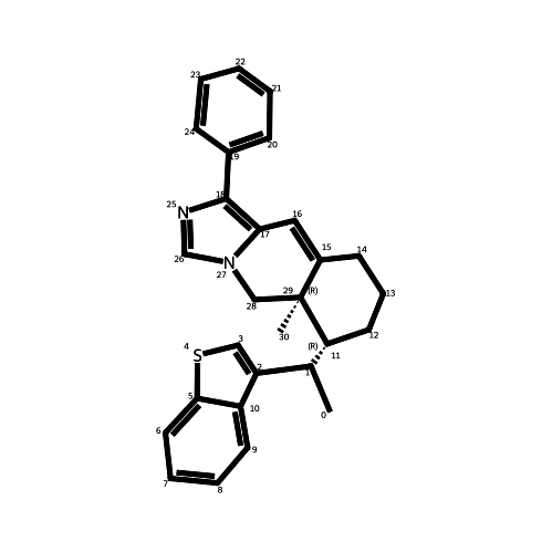 CC(c1csc2ccccc12)[C@H]1CCCC2=Cc3c(-c4ccccc4)ncn3C[C@@]21C